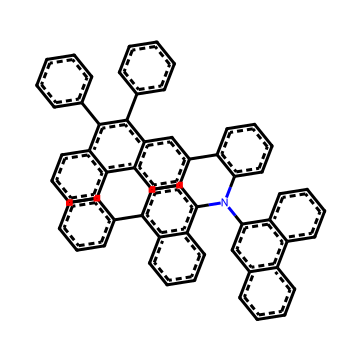 c1ccc(-c2ccc(N(c3ccccc3-c3ccc4c(c3)c(-c3ccccc3)c(-c3ccccc3)c3ccccc34)c3cc4ccccc4c4ccccc34)c3ccccc23)cc1